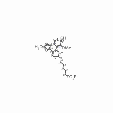 C#C/C(OC)=C(\C(=C/C)OC)N1NC(SCCCCCC(=O)OCC)=NN=C1c1ccc(C)o1